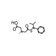 CC(C)[C@@H](SC(=O)C[C@H](C)CC(=O)O)c1ccccc1